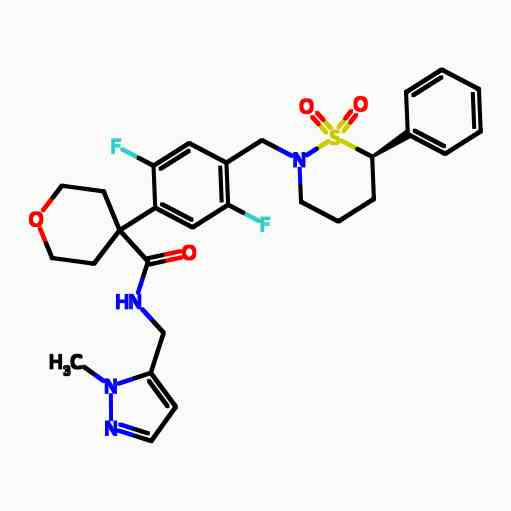 Cn1nccc1CNC(=O)C1(c2cc(F)c(CN3CCC[C@H](c4ccccc4)S3(=O)=O)cc2F)CCOCC1